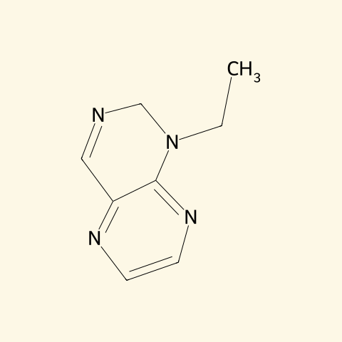 CCN1CN=Cc2nccnc21